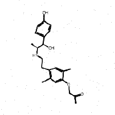 CC(=O)COc1cc(C)c(CCN[C@@H](C)[C@H](O)c2ccc(O)cc2)cc1C